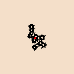 c1ccc(N(c2ccccc2)c2cc3ccccc3c3c4cccc5c6cc7c(cc6n(c23)c54)c2cccc3c4cc5ccccc5cc4n7c32)cc1